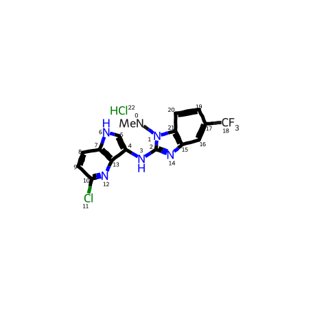 CNn1c(Nc2c[nH]c3ccc(Cl)nc23)nc2cc(C(F)(F)F)ccc21.Cl